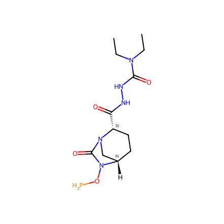 CCN(CC)C(=O)NNC(=O)[C@@H]1CC[C@H]2CN1C(=O)N2OP